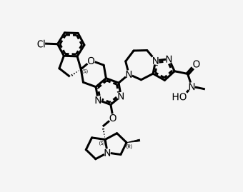 C[C@H]1CN2CCC[C@@]2(COc2nc3c(c(N4CCCn5nc(C(=O)N(C)O)cc5C4)n2)CO[C@@]2(CCc4c(Cl)cccc42)C3)C1